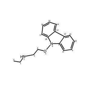 CCNCCOn1c2ccccc2c2ccccc21